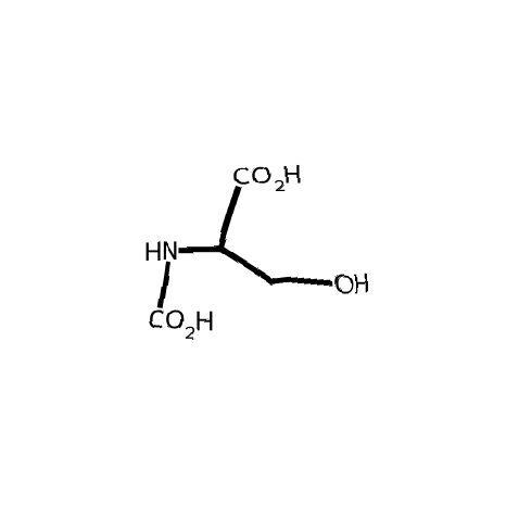 O=C(O)NC(CO)C(=O)O